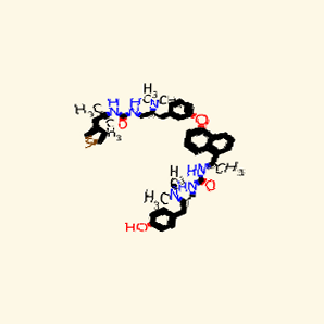 C[C@H](NC(=O)NC[C@H](Cc1ccc(O)cc1)N(C)C)c1cccc2c(Oc3cccc(C[C@@H](CNC(=O)NC(C)(C)Cc4ccsc4)N(C)C)c3)cccc12